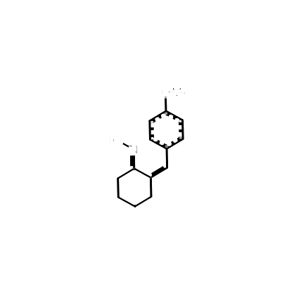 COc1ccc(/C=C2/CCCC/C2=N\O)cc1